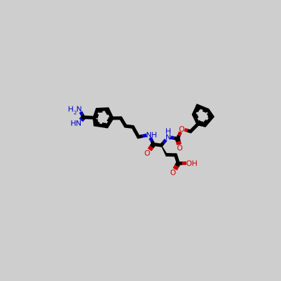 N=C(N)c1ccc(CCCCNC(=O)[C@H](CCC(=O)O)NC(=O)OCc2ccccc2)cc1